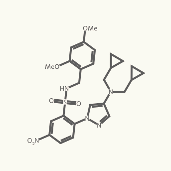 COc1ccc(CNS(=O)(=O)c2cc([N+](=O)[O-])ccc2-n2cc(N(CC3CC3)CC3CC3)cn2)c(OC)c1